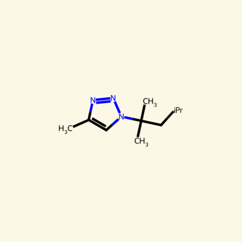 Cc1cn(C(C)(C)CC(C)C)nn1